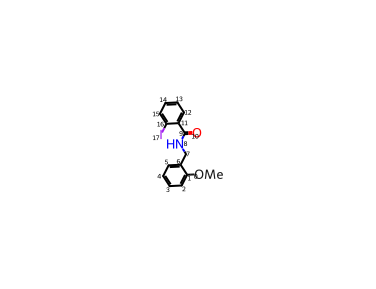 COc1ccccc1CNC(=O)c1ccccc1I